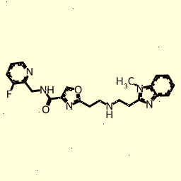 Cn1c(CCNCCc2nc(C(=O)NCc3ncccc3F)co2)nc2ccccc21